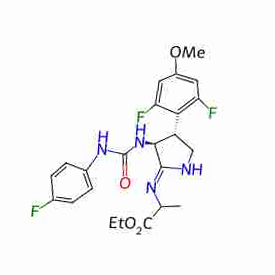 CCOC(=O)C(C)N=C1NC[C@@H](c2c(F)cc(OC)cc2F)[C@@H]1NC(=O)Nc1ccc(F)cc1